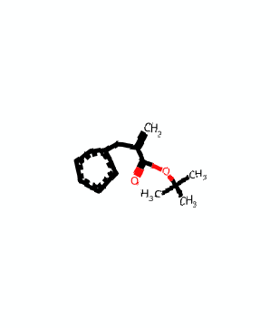 C=C(Cc1ccccc1)C(=O)OC(C)(C)C